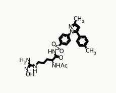 CC(=O)N[C@@H](CCCN/C(N)=N\O)C(=O)NS(=O)(=O)c1ccc(-n2nc(C)cc2-c2ccc(C)cc2)cc1